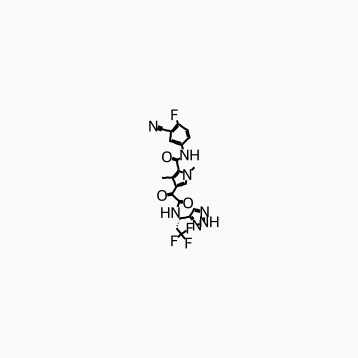 Cc1c(C(=O)C(=O)N[C@@H](CC(F)(F)F)c2cn[nH]n2)cn(C)c1C(=O)Nc1ccc(F)c(C#N)c1